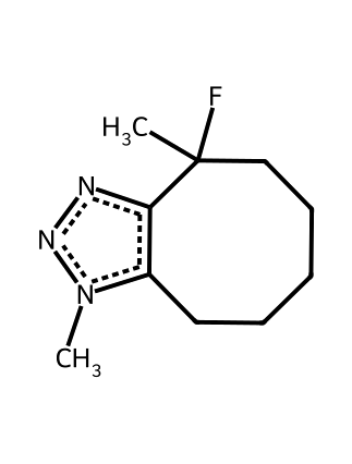 Cn1nnc2c1CCCCCC2(C)F